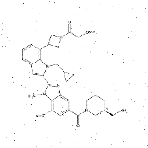 COCC(=O)N1CC(c2cccc3cc(-c4nc5cc(C(=O)N6CCC[C@@H](CN)C6)cc(OC)c5n4C)n(CC4CC4)c23)C1